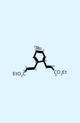 CCOC(=O)C=Cc1ccccc1C=CC(=O)OCC.[Ru]